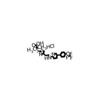 CC(C)(Sc1nc(CCNc2ccc(-c3ccc(OC(F)(F)F)cc3)cn2)cs1)C(=O)O.Cl